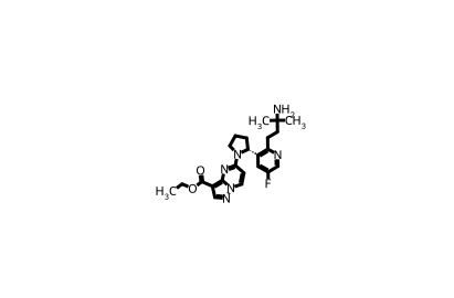 CCOC(=O)c1cnn2ccc(N3CCC[C@@H]3c3cc(F)cnc3CCC(C)(C)N)nc12